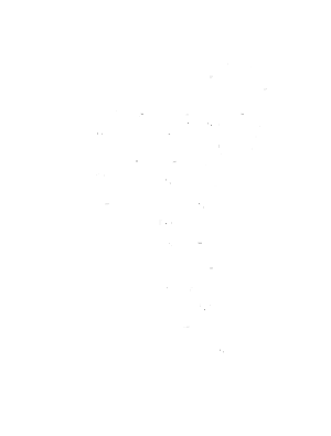 CN1CCN(c2ccc(Nc3ncc4c(=O)n(-c5c(Cl)cccc5Cl)nc(-c5cccc(C(=O)O)c5)c4n3)cc2)CC1